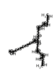 CNCOCCC(CO)OP(=O)(O)OCCOP(=O)(O)OCCCCC(=O)NCC(CNC(=O)CCCCOP(=O)(O)OCCOP(=O)(O)OC(CO)CCOCNC)OP(=O)(O)OCCOCCOCCOCCOCCOCCOP(=O)(O)OI